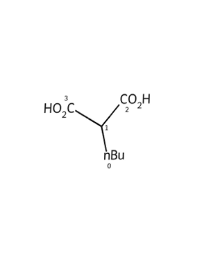 CC[CH]CC(C(=O)O)C(=O)O